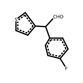 O=[C]C(c1ccc(F)cc1)c1ccsc1